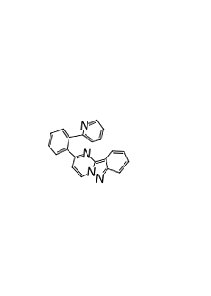 c1ccc(-c2ccccc2-c2ccn3nc4ccccc4c3n2)nc1